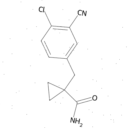 N#Cc1cc(CC2(C(N)=O)CC2)ccc1Cl